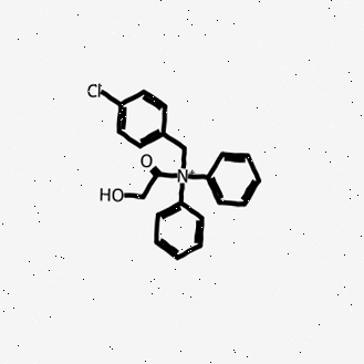 O=C(CO)[N+](Cc1ccc(Cl)cc1)(c1ccccc1)c1ccccc1